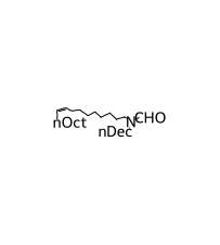 CCCCCCCC/C=C\CCCCCCCCN(C=O)CCCCCCCCCC